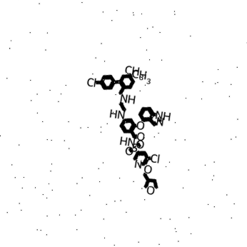 CC1(C)CCC(CNCCNc2ccc(C(=O)NS(=O)(=O)c3cnc(OCC4CCOC4)c(Cl)c3)c(Oc3cccc4[nH]ncc34)c2)=C(c2ccc(Cl)cc2)C1